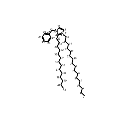 CCCCCCCCCCCCCCCCC[n+]1ccn(Cc2ccccc2)c1CCCCCCCCCCCCCC